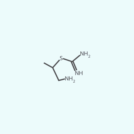 CC(CN)SC(=N)N